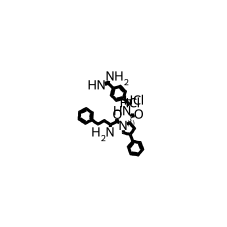 Cl.Cl.N=C(N)c1ccc(CNC(=O)[C@@H]2CC(c3ccccc3)CN2C(=O)C(N)CCc2ccccc2)cc1